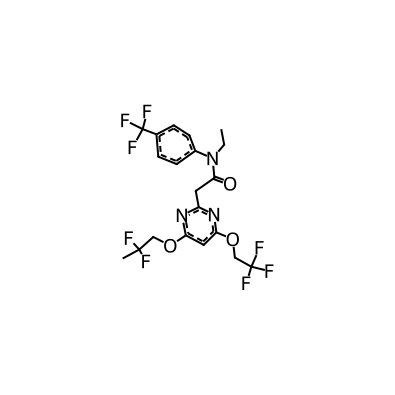 CCN(C(=O)Cc1nc(OCC(C)(F)F)cc(OCC(F)(F)F)n1)c1ccc(C(F)(F)F)cc1